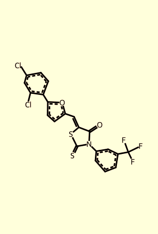 O=C1C(=Cc2ccc(-c3ccc(Cl)cc3Cl)o2)SC(=S)N1c1cccc(C(F)(F)F)c1